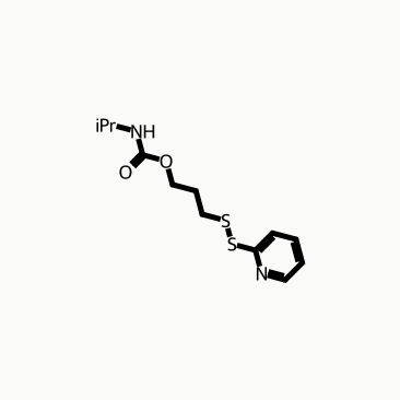 CC(C)NC(=O)OCCCSSc1ccccn1